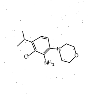 CC(C)c1ccc(N2CCOCC2)c(N)c1Cl